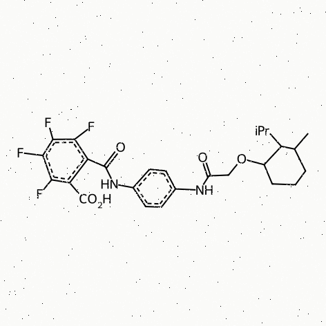 CC(C)C1C(C)CCCC1OCC(=O)Nc1ccc(NC(=O)c2c(F)c(F)c(F)c(F)c2C(=O)O)cc1